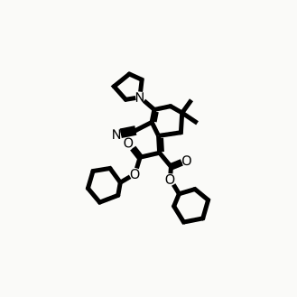 CC1(C)CC(=C(C(=O)OC2CCCCC2)C(=O)OC2CCCCC2)C(C#N)=C(N2CCCC2)C1